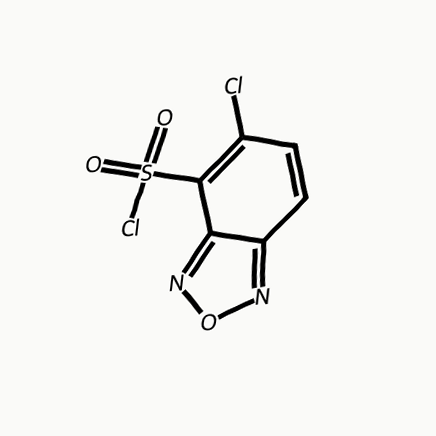 O=S(=O)(Cl)c1c(Cl)ccc2nonc12